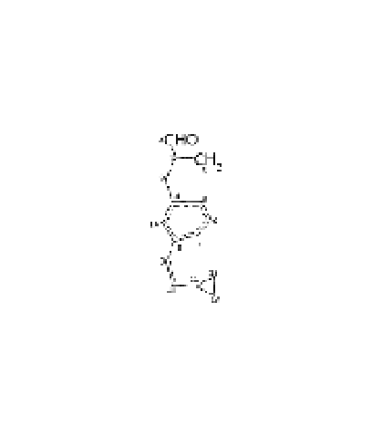 CC(C=O)Cc1cccc(/C=C\C2CC2)c1